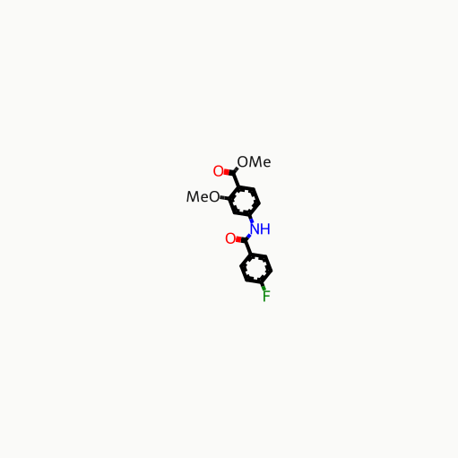 COC(=O)c1ccc(NC(=O)c2ccc(F)cc2)cc1OC